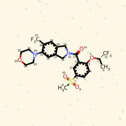 C[C@H](Oc1ccc(S(C)(=O)=O)cc1C(=O)N1Cc2cc(N3CCOCC3)c(C(F)(F)F)cc2C1)C(F)(F)F